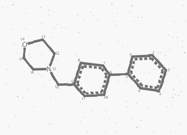 [c]1ccccc1-c1ccc(CN2CCOCC2)cc1